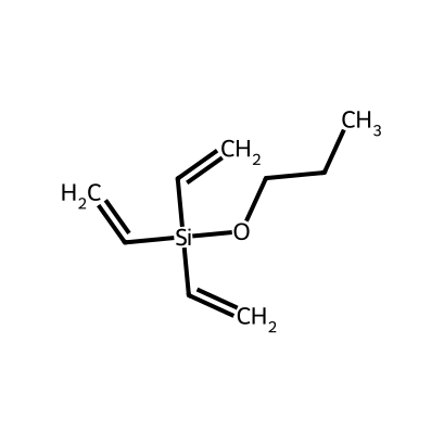 C=C[Si](C=C)(C=C)OCCC